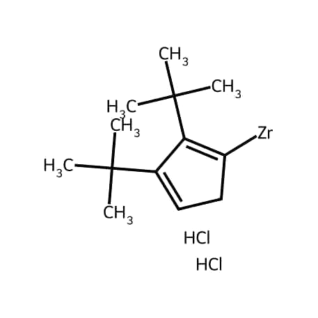 CC(C)(C)C1=CC[C]([Zr])=C1C(C)(C)C.Cl.Cl